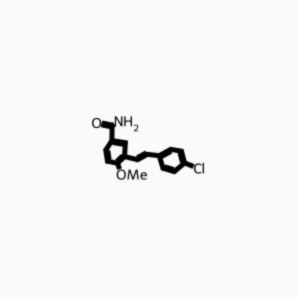 COc1ccc(C(N)=O)cc1C=Cc1ccc(Cl)cc1